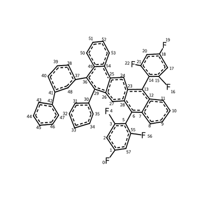 Fc1cc(F)c(-c2c3ccccc3c(-c3c(F)cc(F)cc3F)c3cc4c(cc23)c(-c2ccccc2)c(-c2cccc(-c3ccccc3)c2)c2ccccc24)c(F)c1